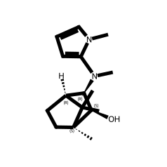 CN(c1cccn1C)[C@H]1[C@@H](O)[C@@]2(C)CC[C@@H]1C2(C)C